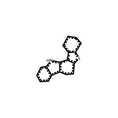 [c]1cccc2sc3ccc4c5ccccc5[nH]c4c3c12